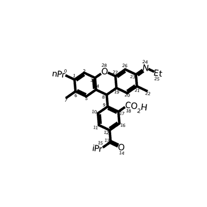 CCCc1cc2c(cc1C)C(c1ccc(C(=O)C(C)C)cc1C(=O)O)C1C=C(C)/C(=N\CC)C=C1O2